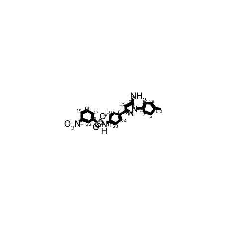 Cc1ccc(-n2nc(-c3ccc(NS(=O)(=O)c4cccc([N+](=O)[O-])c4)cc3)cc2N)cc1